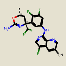 C[C@@H]1C[C@@](c2cc(Nc3ncc(F)c4cc(C#N)cnc34)cc(F)c2F)(C(F)F)N=C(N)O1